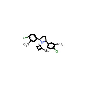 CC(C)(C)C1=CC[C@@H]1N1C(c2ccc(Cl)c([N+](=O)[O-])c2)CCC1c1ccc(Cl)c([N+](=O)[O-])c1